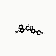 C[C@H]1CN(c2ccc(C#N)c3ncccc23)Cc2c3ccc(C4CCNCC4)cc3nn21